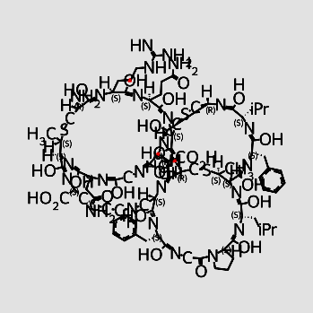 CC(C)C[C@@H]1N=C(O)[C@@H]2CCCN2C(=O)CN=C(O)[C@H](Cc2ccccc2)N=C(O)[C@@H]2CNCCCC[C@@H](C(=O)O)N=C(O)[C@@H]3N=C(O)[C@H](CC(N)=O)N=C(O)CN=C(O)[C@H]([C@@H](O)C(=O)O)N=C(O)[C@@H]4CSC[C@@H](N=C(O)[C@H](CCC(N)=O)N=C(O)[C@H](CCCNC(=N)N)N=C(O)[C@@H](N)CS[C@H]3C)C(O)=N[C@@H](CS[C@@H](C)[C@@H](N=C1O)C(O)=N[C@@H](Cc1ccccc1)C(O)=N[C@@H](C(C)C)C(O)=N4)C(O)=N2